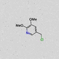 COc1cc(CCl)cnc1OC